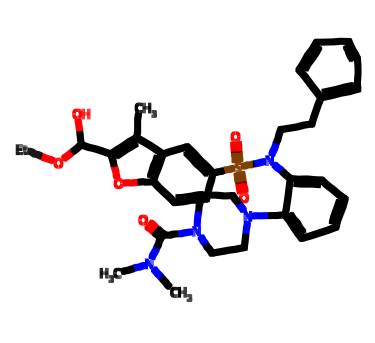 CCOC(O)c1oc2ccc(S(=O)(=O)N(CCc3ccccc3)c3ccccc3N3CCN(C(=O)N(C)C)CC3)cc2c1C